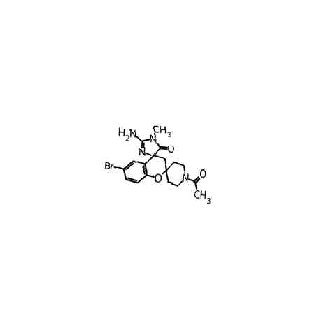 CC(=O)N1CCC2(CC1)CC1(N=C(N)N(C)C1=O)c1cc(Br)ccc1O2